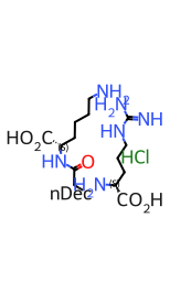 CCCCCCCCCCCC(=O)N[C@@H](CCCCN)C(=O)O.Cl.N=C(N)NCCC[C@H](N)C(=O)O